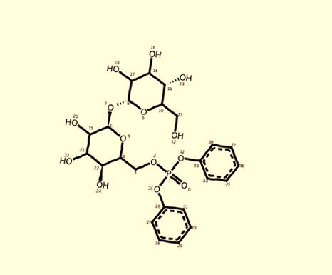 O=P(OCC1O[C@H](O[C@H]2OC(CO)[C@@H](O)C(O)C2O)C(O)C(O)[C@@H]1O)(Oc1ccccc1)Oc1ccccc1